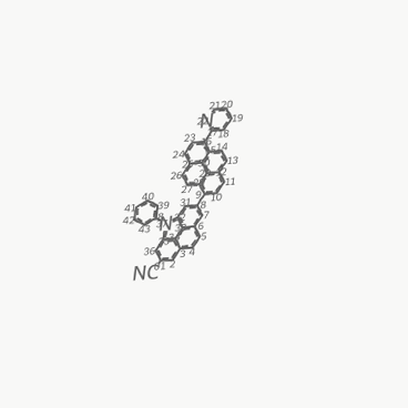 N#Cc1cc2ccc3cc(-c4ccc5ccc6c(-c7ccccn7)ccc7ccc4c5c76)cc4c3c2c(c1)n4-c1ccccc1